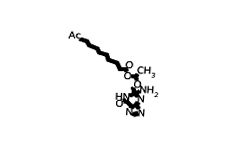 CC(=O)CCCCCCCCCC(=O)OC(C)OCC1(N)N=C2N=CN=C2C(=O)N1